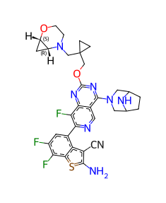 N#Cc1c(N)sc2c(F)c(F)cc(-c3ncc4c(N5CC6CCC(C5)N6)nc(OCC5(CN6CCO[C@H]7C[C@H]76)CC5)nc4c3F)c12